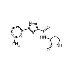 Cc1cccc(-c2ncc(C(=O)NC3CCNC3=O)s2)n1